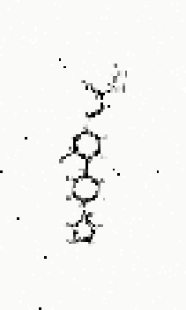 Cc1cc(/C=C/C(=O)NO)ccc1-c1ccc(-n2ccnc2)cc1